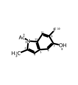 CC(=O)n1c(C)cc2cc(O)c(F)cc21